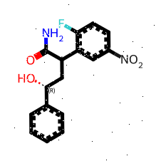 NC(=O)[C](C[C@@H](O)c1ccccc1)c1cc([N+](=O)[O-])ccc1F